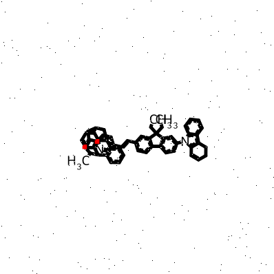 CCC1(CC)c2cc(/C=C/c3ccc(C4=C\C(C)C5C6=C(CCC=C6)C(C/C=C\4)c4ccccc45)nc3)ccc2-c2ccc(-n3c4c(c5ccccc53)CCC=C4)cc21